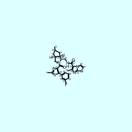 Cc1nc(C(=O)N2C[C@@H]3CC(C)C[C@@H]3[C@H]2CNC(=O)c2c(C)nc3sccn23)c(-c2cccc(F)c2)s1